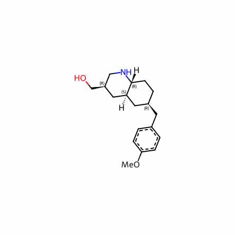 COc1ccc(C[C@@H]2CC[C@H]3NC[C@H](CO)C[C@@H]3C2)cc1